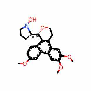 CCc1c([C@@H](O)[C@H]2CCCN2O)c2ccc(OC)cc2c2cc(OC)c(OC)cc12